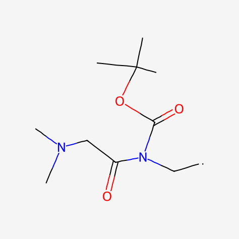 [CH2]CN(C(=O)CN(C)C)C(=O)OC(C)(C)C